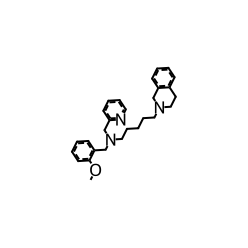 COc1ccccc1CN(CCCCCN1CCc2ccccc2C1)Cc1ccccn1